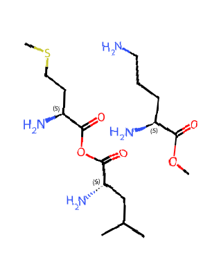 COC(=O)[C@@H](N)CCCN.CSCC[C@H](N)C(=O)OC(=O)[C@@H](N)CC(C)C